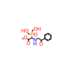 COC(=O)C(NCC(=O)c1ccccc1)P(=O)(CO)CO